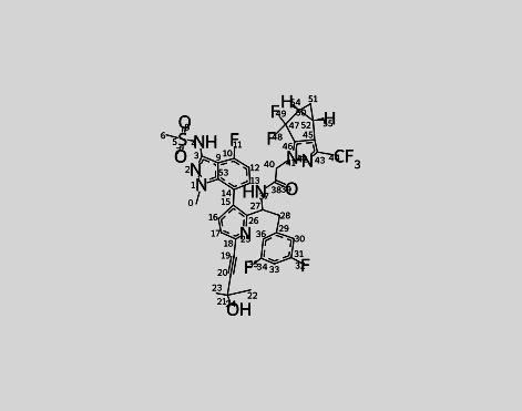 Cn1nc(NS(C)(=O)=O)c2c(F)ccc(-c3ccc(C#CC(C)(C)O)nc3C(Cc3cc(F)cc(F)c3)NC(=O)Cn3nc(C(F)(F)F)c4c3C(F)(F)[C@@H]3C[C@H]43)c21